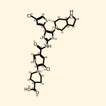 O=C(Nc1nc(-c2cc(Cl)cs2)c(N2CCC3NCCC3C2)s1)c1cnc(N2CCC(C(=O)O)CC2)c(Cl)c1